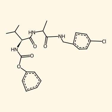 CC(NC(=O)[C@@H](NC(=O)Oc1ccccc1)C(C)C)C(=O)NCc1ccc(Cl)cc1